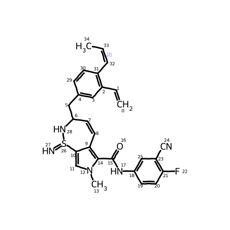 C=Cc1cc(CC2C=Cc3c(cn(C)c3C(=O)Nc3ccc(F)c(C#N)c3)S(=N)N2)ccc1/C=C\C